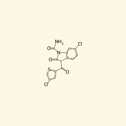 NC(=O)N1C(=O)C(C(=O)c2cc(Cl)cs2)c2ccc(Cl)cc21